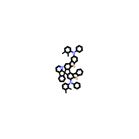 Cc1cccc(N(c2ccccc2)c2ccc3sc4c5c(ccc4c3c2)C2(c3ccccc3-c3cccnc32)c2cc(N(c3ccccc3)c3cccc(C)c3C)c3sc4ccccc4c3c2-5)c1C